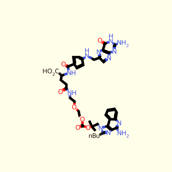 CCCCc1nc2c(N)nc3ccccc3c2n1CC(C)(C)OC(=O)OCCOCCNC(=O)CCC(NC(=O)c1ccc(NCc2cnc3nc(N)[nH]c(=O)c3n2)cc1)C(=O)O